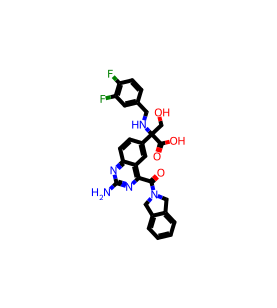 Nc1nc(C(=O)N2Cc3ccccc3C2)c2cc(C(CO)(NCc3ccc(F)c(F)c3)C(=O)O)ccc2n1